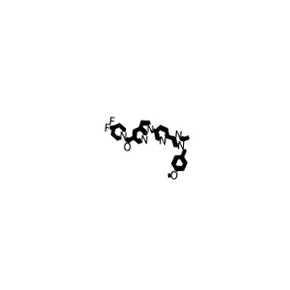 COc1ccc(Cn2cc(-c3ccc(-n4ccc5cc(C(=O)N6CCC(F)(F)CC6)cnc54)cn3)nc2C)cc1